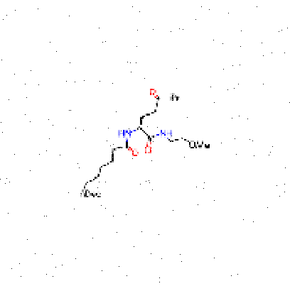 CCCCCCCCCCCCCCCC(=O)N[C@@H](CCC(=O)C(C)C)C(=O)NCCOC